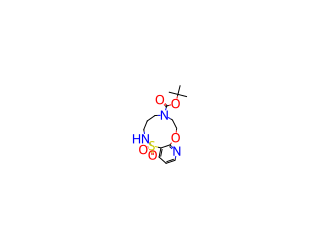 CC(C)(C)OC(=O)N1CCCNS(=O)(=O)c2cccnc2OCC1